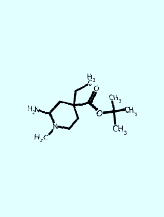 CCC1(C(=O)OC(C)(C)C)CCN(C)C(N)C1